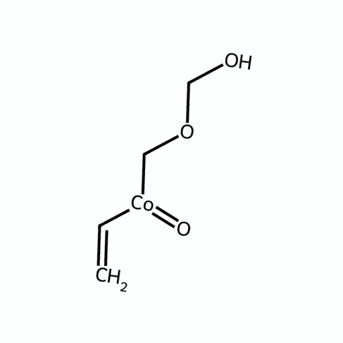 C=[CH][Co](=[O])[CH2]OCO